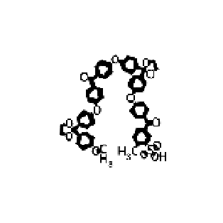 COc1ccc(C2(c3ccc(Oc4ccc(C(=O)c5ccc(Oc6ccc(C7(c8ccc(Oc9ccc(C(=O)c%10ccc(C)c(S(=O)(=O)O)c%10)cc9)cc8)OCCO7)cc6)cc5)cc4)cc3)OCCO2)cc1